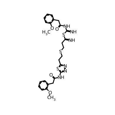 COc1ccccc1CC(=O)NC(=N)SC(=N)CCSCCc1nnc(NC(=O)Cc2ccccc2OC)s1